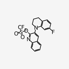 O=S(=O)(Oc1nc2ccccc2cc1N1CCCc2ccc(F)cc21)C(F)(F)F